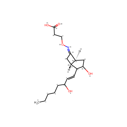 CCCCCC(O)C=CC1C(O)C[C@@H]2C(=NOCCC(=O)O)C[C@@H]12